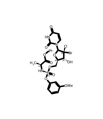 COc1cccc(O[P@](=O)(N[C@@H](C)C(=O)OC(C)C)OC[C@H]2OC(n3ccc(=O)[nH]c3=O)[C@](Cl)(Br)[C@@H]2O)c1